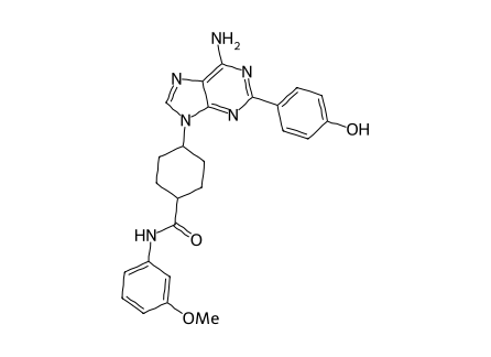 COc1cccc(NC(=O)C2CCC(n3cnc4c(N)nc(-c5ccc(O)cc5)nc43)CC2)c1